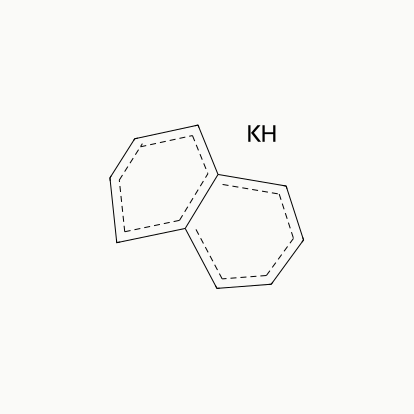 [KH].c1ccc2ccccc2c1